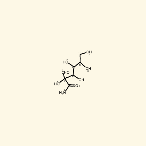 NC(=O)C(O)(C=O)C(O)C(O)C(O)CO